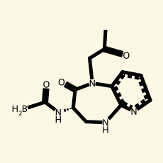 BC(=O)N[C@H]1CNc2ncccc2N(CC(C)=O)C1=O